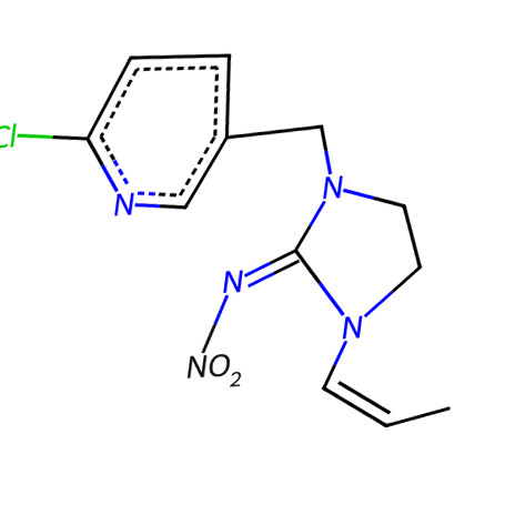 C/C=C\N1CCN(Cc2ccc(Cl)nc2)/C1=N/[N+](=O)[O-]